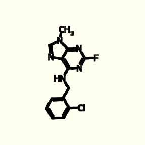 Cn1cnc2c(NCc3ccccc3Cl)nc(F)nc21